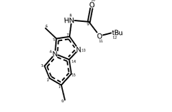 Cc1ccn2c(C)c(NC(=O)OC(C)(C)C)nc2c1